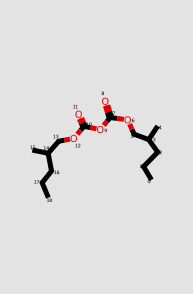 CCCC(C)COC(=O)OC(=O)OCC(C)CCC